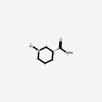 CNC(=O)[C@@H]1CCCN(C(C)=O)C1